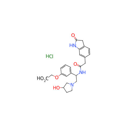 Cl.O=C(O)COc1cccc(C(CN2CCC(O)C2)NC(=O)Cc2ccc3c(c2)NC(=O)C3)c1